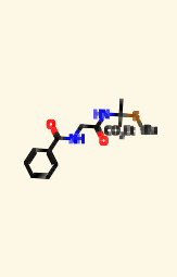 CCOC(=O)C(C)(NC(=O)CNC(=O)c1ccccc1)SC(C)(C)C